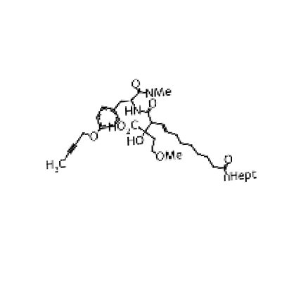 CC#CCOc1ccc(C[C@H](NC(=O)C(C=CCCCCCCC(=O)CCCCCCC)[C@@](O)(CCOC)C(=O)O)C(=O)NC)cc1